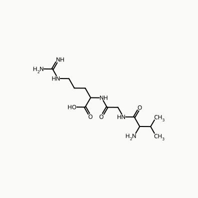 CC(C)C(N)C(=O)NCC(=O)NC(CCCNC(=N)N)C(=O)O